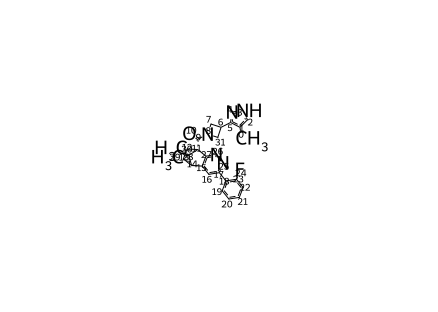 Cc1c[nH]nc1C1CN(C(=O)[C@]23CCC(c4cc(-c5ccccc5F)nnc42)C3(C)C)C1